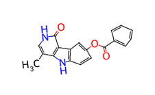 Cc1c[nH]c(=O)c2c1[nH]c1ccc(OC(=O)c3ccccc3)cc12